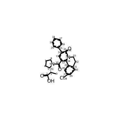 CC(C(=O)O)[C@@H]1CCCN1C(=O)c1cc(-c2ccccc2)c(=O)n2c1-c1cc(Cl)ccc1CC2